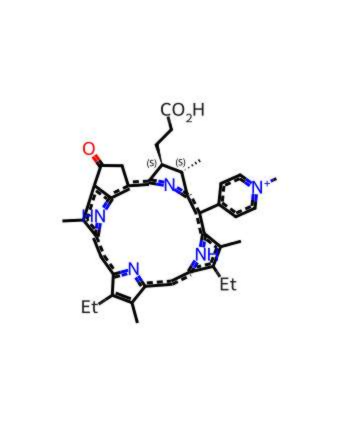 CCC1=C(C)c2cc3[nH]c(c(C)c3CC)c(-c3cc[n+](C)cc3)c3nc(c4c5[nH]c(cc1n2)c(C)c5C(=O)C4)[C@@H](CCC(=O)O)[C@@H]3C